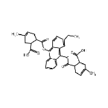 CCc1ccc2c(OC(=O)C3CC=C(C)CC3C(=O)O)c3ccccc3c(OC(=O)C3CC=C(C)CC3C(=O)O)c2c1